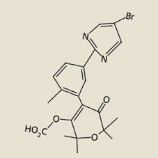 Cc1ccc(-c2ncc(Br)cn2)cc1C1=C(OC(=O)O)C(C)(C)OC(C)(C)C1=O